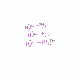 PP.PP.PP.[Tc]